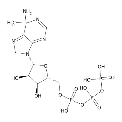 CC1(N)N=CN=C2C1=NCN2[C@@H]1O[C@H](COP(=O)(O)OP(=O)(O)OP(=O)(O)O)[C@@H](O)[C@H]1O